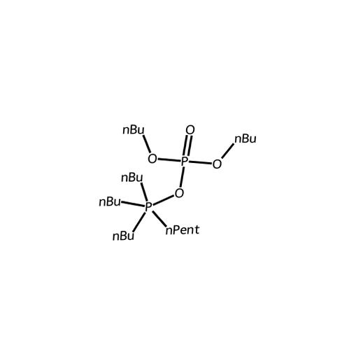 CCCCCP(CCCC)(CCCC)(CCCC)OP(=O)(OCCCC)OCCCC